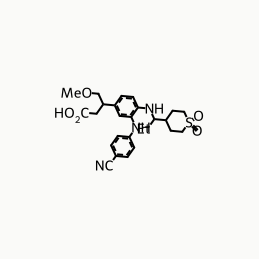 CCC(Nc1ccc(C(COC)CC(=O)O)cc1Nc1ccc(C#N)cc1)C1CCS(=O)(=O)CC1